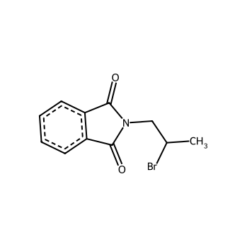 CC(Br)CN1C(=O)c2ccccc2C1=O